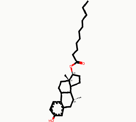 CCCCCCCCCCC(=O)O[C@H]1CCC2C3C(CC[C@@]21C)c1ccc(O)cc1C[C@H]3C